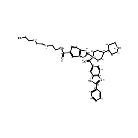 NCCOCCOCCNC(=O)c1ccc2nc([N+]3(C(=O)c4ccc5nc(-c6ccccc6)[nH]c5c4)CCC(C4CCNCC4)CC3)sc2c1